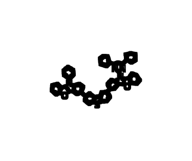 c1ccc(-c2cc(-c3ccccc3)nc(N3c4ccc(-c5ccc6sc7ccc(-c8ccc9c(c8)C8Oc%10ccccc%10C8N9c8ccccc8)cc7c6c5)cc4C4Oc5ccccc5C43)n2)cc1